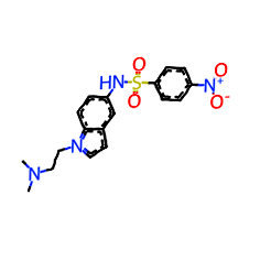 CN(C)CCn1ccc2cc(NS(=O)(=O)c3ccc([N+](=O)[O-])cc3)ccc21